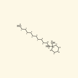 OCCCCCCCCCCNC1(O)CCCCC1